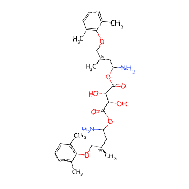 Cc1cccc(C)c1OC[C@H](C)CC(N)OC(=O)C(O)C(O)C(=O)OC(N)C[C@@H](C)COc1c(C)cccc1C